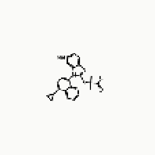 CC(C)(Sc1nc2ccccc2n1-c1ccc(C2CC2)c2ccccc12)C(=O)O.[NaH]